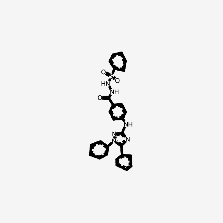 O=C(NNS(=O)(=O)c1ccccc1)c1ccc(Nc2nc(-c3ccccc3)n(-c3ccccc3)n2)cc1